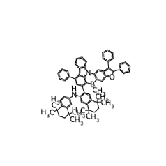 CB1c2cc3oc(-c4ccccc4)c(-c4ccccc4)c3cc2-n2c3ccccc3c3c(-c4ccccc4)cc(-c4cc5c(cc4Nc4ccc6c(c4)C(C)(C)CCC6(C)C)C(C)(C)CCC5(C)C)c1c32